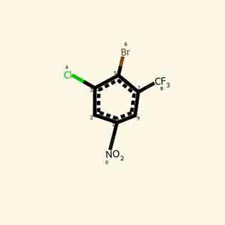 O=[N+]([O-])c1cc(Cl)c(Br)c(C(F)(F)F)c1